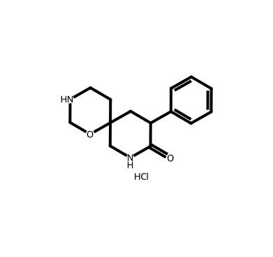 Cl.O=C1NCC2(CCNCO2)CC1c1ccccc1